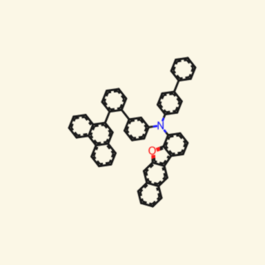 c1ccc(-c2ccc(N(c3cccc(-c4ccccc4-c4cc5ccccc5c5ccccc45)c3)c3cccc4c3oc3cc5ccccc5cc34)cc2)cc1